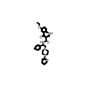 CCOc1ccc2[nH]cc(C(=O)NC(CN3CCN(c4ccccn4)CC3)c3ccccc3)c(=O)c2c1